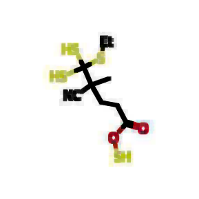 CCSC(S)(S)C(C)(C#N)CCC(=O)OS